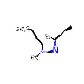 C=C/C=C(CC)/N=C\N(CC)CCCC(=O)OCC